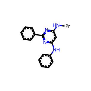 CC(C)Nc1cc(Nc2ccccc2)nc(-c2ccccc2)n1